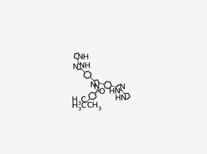 CC(C)(C)c1ccc([C@@H]2Oc3cc(-c4cnc(-c5ccc[nH]5)[nH]4)ccc3-c3cc(-c4ccc(-c5cnc(-c6ccc[nH]6)[nH]5)cc4)nn32)cc1